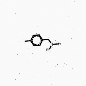 Cc1ccc(CN(C(C)C)C(C)C)cc1